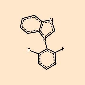 Fc1cccc(F)c1-n1cnc2ccccc21